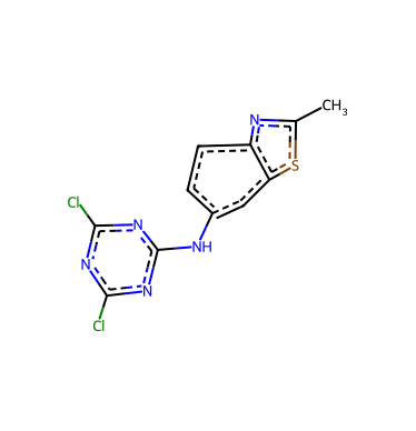 Cc1nc2ccc(Nc3nc(Cl)nc(Cl)n3)cc2s1